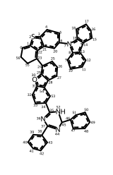 C1=c2sc3ccc(-n4c5ccccc5c5ccccc54)cc3c2=C(c2cccc3c2oc2ccc(C4=NC(c5ccccc5)=NC(c5ccccc5)N4)cc23)CC1